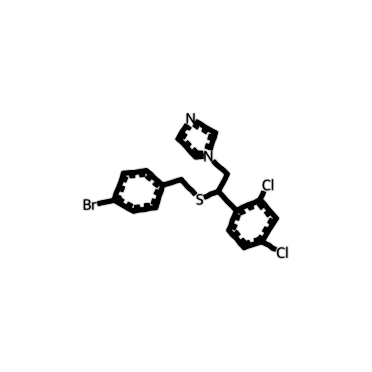 Clc1ccc(C(Cn2ccnc2)SCc2ccc(Br)cc2)c(Cl)c1